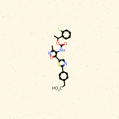 Cc1noc(-c2cnc(-c3ccc(CC(=O)O)cc3)s2)c1NC(=O)OC(C)c1ccccc1F